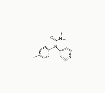 Cc1ccc(N(C(=O)N(C)C)c2ccncc2)cc1